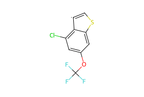 FC(F)(F)Oc1cc(Cl)c2[c]csc2c1